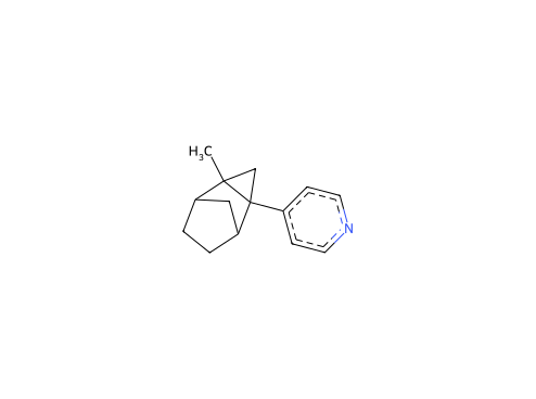 CC12CC1(c1ccncc1)C1CCC2C1